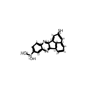 ON(O)c1ccc2nc3c(nc2c1)-c1cccc2cc(S)cc-3c12